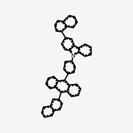 c1ccc2cc(-c3c4ccccc4c(-c4ccc(-n5c6ccccc6c6cc(-c7cccc8ccccc78)ccc65)cc4)c4ccccc34)ccc2c1